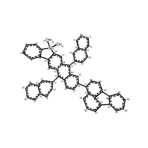 C[Si]1(C)c2ccccc2-c2cc3c(-c4ccc5ccccc5c4)c4ccc(-c5ccc6c7c(cccc57)-c5ccccc5-6)cc4c(-c4ccc5ccccc5c4)c3cc21